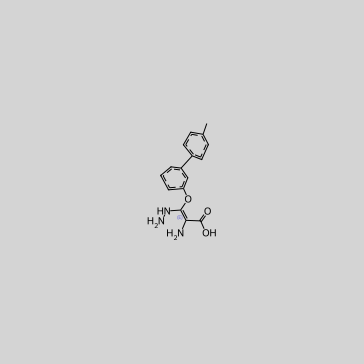 Cc1ccc(-c2cccc(O/C(NN)=C(/N)C(=O)O)c2)cc1